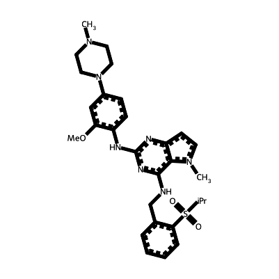 COc1cc(N2CCN(C)CC2)ccc1Nc1nc(NCc2ccccc2S(=O)(=O)C(C)C)c2c(ccn2C)n1